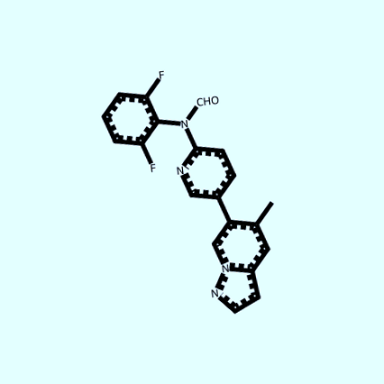 Cc1cc2ccnn2cc1-c1ccc(N(C=O)c2c(F)cccc2F)nc1